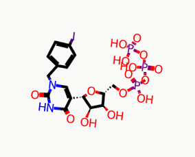 O=c1[nH]c(=O)n(Cc2ccc(I)cc2)cc1[C@@H]1O[C@H](COP(=O)(O)OP(=O)(O)OP(=O)(O)O)[C@@H](O)[C@H]1O